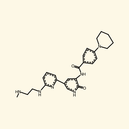 CNCCNc1cccc(-c2c[nH]c(=O)c(NC(=O)c3ccc(N4CCCCC4)cc3)c2)n1